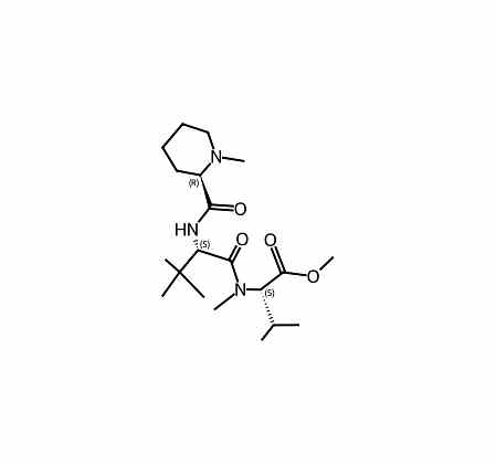 COC(=O)[C@H](C(C)C)N(C)C(=O)[C@@H](NC(=O)[C@H]1CCCCN1C)C(C)(C)C